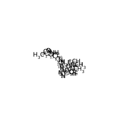 CC(C)CC1CC2(CCC(CN3CCC4(CC3)CN(c3ncncc3Oc3ccc(F)cc3C(=O)N(C(C)C)C(C)C)C4)CC2)NC1=O